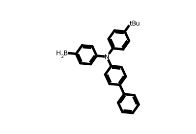 Bc1ccc(N(c2ccc(-c3ccccc3)cc2)c2ccc(C(C)(C)C)cc2)cc1